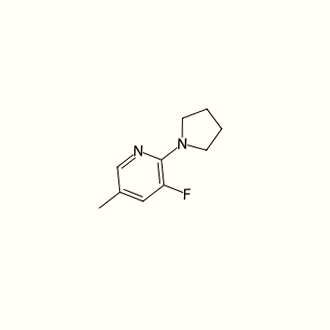 Cc1cnc(N2CCCC2)c(F)c1